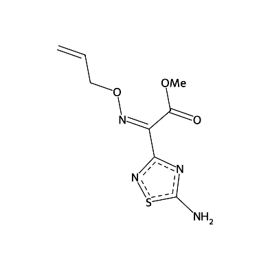 C=CCON=C(C(=O)OC)c1nsc(N)n1